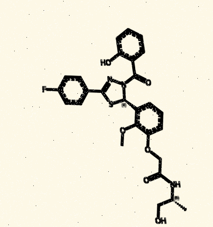 COc1c(OCC(=O)N[C@H](C)CO)cccc1[C@H]1SC(c2ccc(F)cc2)=NN1C(=O)c1ccccc1O